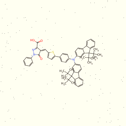 CC(C)(C)C1(C(C)(C)C)c2ccccc2-c2ccc(N(c3ccc(-c4ccc(/C=C5\C(=O)N(c6ccccc6)N=C5C(=O)O)s4)cc3)c3ccc4c(c3)C(C(C)(C)C)(C(C)(C)C)c3ccccc3-4)cc21